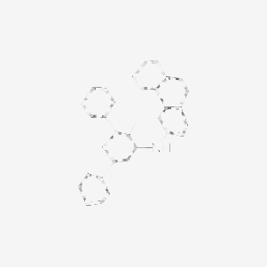 Fc1c(Nc2ccc3ccc4ccccc4c3c2)cc(-c2ccccc2)cc1-c1ccccc1